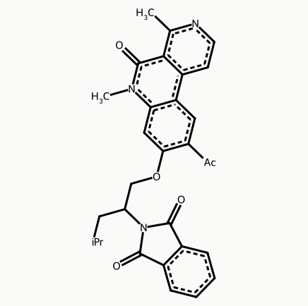 CC(=O)c1cc2c3ccnc(C)c3c(=O)n(C)c2cc1OCC(CC(C)C)N1C(=O)c2ccccc2C1=O